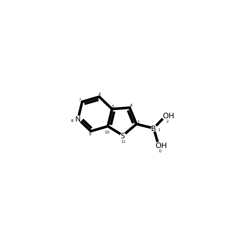 OB(O)c1cc2ccncc2s1